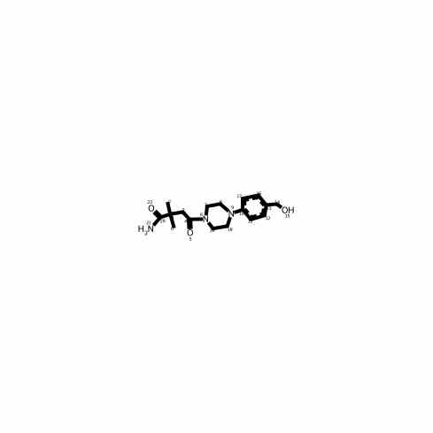 CC(C)([CH]C(=O)N1CCN(c2ccc(CO)cc2)CC1)C(N)=O